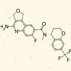 CN(C(=O)c1cc2c3c(c(N)nc2cc1F)COC3)[C@@H]1CCOc2cc(C(F)(F)F)ccc21